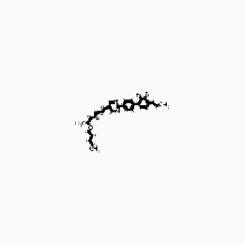 C=CCc1ccc(-c2ccc(-c3ncc(/C=C/CCCC(C)OCCCCC)cn3)cc2)c(F)c1F